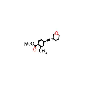 COC(=O)c1ccc(C#C[C@H]2CCCOC2)cc1C